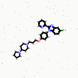 Fc1ccc2c(c1)nc(-c1ccccn1)n2-c1ccc(OCCCN2CCC(N3CCCC3)CC2)cc1